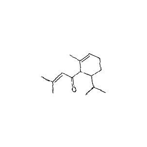 CC(C)=CC(=O)C1C(C)=CCCC1C(C)C